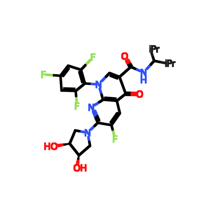 CC(C)C(NC(=O)c1cn(-c2c(F)cc(F)cc2F)c2nc(N3C[C@@H](O)[C@@H](O)C3)c(F)cc2c1=O)C(C)C